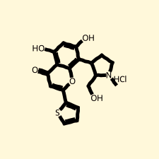 CN1CCC(c2c(O)cc(O)c3c(=O)cc(-c4cccs4)oc23)C1CO.Cl